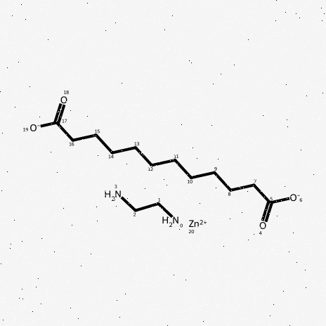 NCCN.O=C([O-])CCCCCCCCCCC(=O)[O-].[Zn+2]